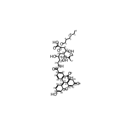 CCSCCCO[C@]1(C(=O)O)CC(O)[C@@H](NC(C)=O)[C@H]([C@H](O)[C@H](O)CNC(=O)c2ccc(C3=C4C=CC(O)=CC4OC4=CC(=O)CC=C43)c(C(=O)O)c2)O1